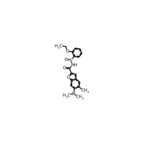 CCOc1ccccc1[S+]([O-])NC(=O)c1cc2cc(C)c(N(C)C)cc2o1